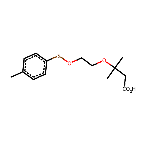 Cc1ccc(SOCCOC(C)(C)CC(=O)O)cc1